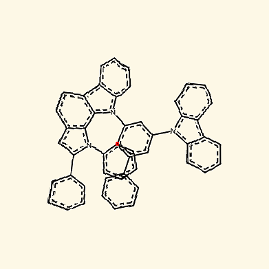 c1ccc(-c2cc(-n3c4ccccc4c4ccccc43)cc(-n3c4ccccc4c4ccc5cc(-c6ccccc6)n(-c6ccccc6)c5c43)c2)cc1